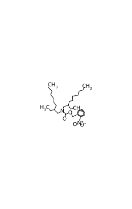 CCCCCCCC(CC)CN(CC(CC)CCCCCCC)C(=O)OCc1ccccc1[N+](=O)[O-]